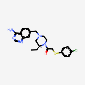 CC[C@H]1CN(Cc2ccc3c(N)ncnc3c2)CCN1C(=O)CSc1ccc(Cl)cc1